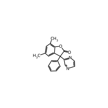 Cc1cc(C)c2c(c1)C(c1ccccc1)(c1cnccn1)C(=O)O2